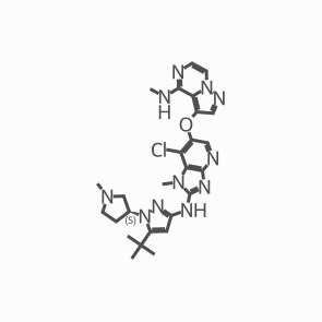 CNc1nccn2ncc(Oc3cnc4nc(Nc5cc(C(C)(C)C)n([C@H]6CCN(C)C6)n5)n(C)c4c3Cl)c12